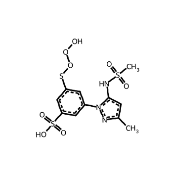 Cc1cc(NS(C)(=O)=O)n(-c2cc(SOOO)cc(S(=O)(=O)O)c2)n1